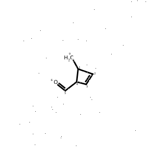 CC1C=CC1C=O